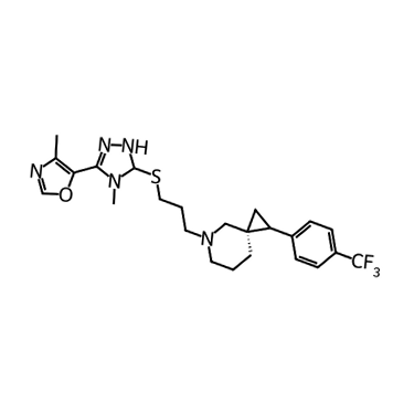 Cc1ncoc1C1=NNC(SCCCN2CCC[C@@]3(CC3c3ccc(C(F)(F)F)cc3)C2)N1C